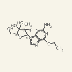 CCOc1nc(N)nc2c1ncn2[C@@H]1O[C@H](CO)C(O)(O)[C@@]1(C)F